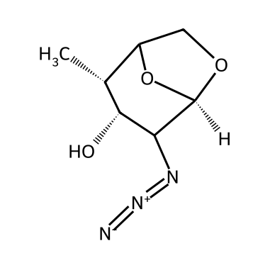 C[C@@H]1C2CO[C@H](O2)C(N=[N+]=[N-])[C@@H]1O